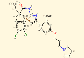 COc1cc(OCCCN2CCCC2)ccc1-c1csc(N(C)C(=O)C2(CC(=O)O)Cc3cc(F)c(F)cc3C2)n1